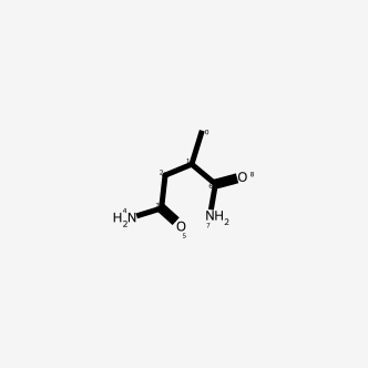 CC(CC(N)=O)C(N)=O